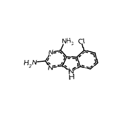 Nc1nc(N)c2c(n1)[nH]c1cccc(Cl)c12